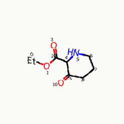 CCOC(=O)C1NCCCC1=O